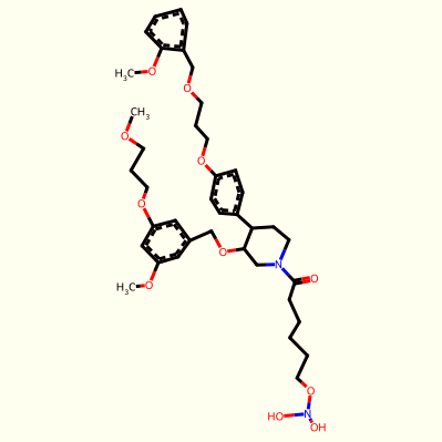 COCCCOc1cc(COC2CN(C(=O)CCCCCON(O)O)CCC2c2ccc(OCCCOCc3ccccc3OC)cc2)cc(OC)c1